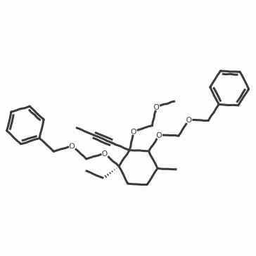 CC#CC1(OCOC)C(OCOCc2ccccc2)C(C)CC[C@@]1(CC)OCOCc1ccccc1